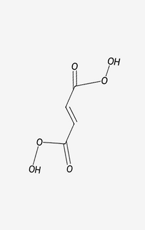 O=C(C=CC(=O)OO)OO